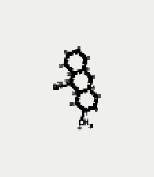 Cc1ccc2cc3ccccc3c(Br)c2c1